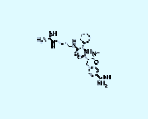 CN(C)C(=O)C(Cc1ccc(C(=N)N)cc1)C(=O)N[C@H](C(=O)NCCCCNC(=N)N)C1CCCCC1